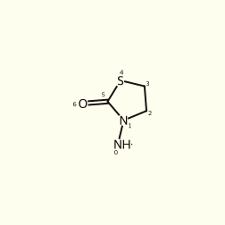 [NH]N1CCSC1=O